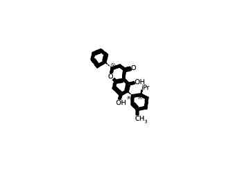 CC1=C[C@H](c2c(O)cc3c(c2O)C(=O)C[C@@H](c2ccccc2)O3)[C@@H](C(C)C)CC1